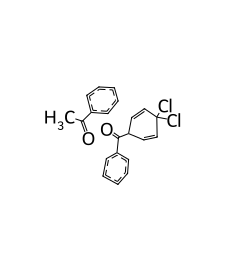 CC(=O)c1ccccc1.O=C(c1ccccc1)C1C=CC(Cl)(Cl)C=C1